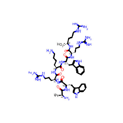 CC(C)[C@H](N)C(=O)N[C@@H](Cc1c[nH]c2ccccc12)C(=O)N[C@@H](CCCNC(=N)N)C(=O)N[C@@H](CCCCN)C(=O)N[C@@H](Cc1c[nH]c2ccccc12)C(=O)N[C@@H](CCCNC(=N)N)C(=O)N[C@@H](CCCNC(=N)N)C(=O)O